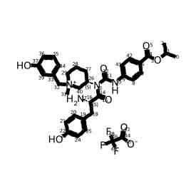 CC(C)OC(=O)c1ccc(NC(=O)N(C(=O)[C@@H](N)Cc2ccc(O)cc2)[C@H]2CCC[N+](C)(Cc3cccc(O)c3)C2)cc1.O=C([O-])C(F)(F)F